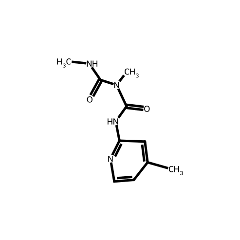 CNC(=O)N(C)C(=O)Nc1cc(C)ccn1